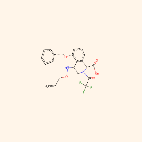 C=CCONC1CN(C(=O)C(F)(F)F)C(C(=O)O)c2cccc(OCc3ccccc3)c21